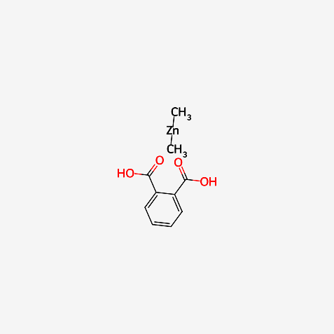 O=C(O)c1ccccc1C(=O)O.[CH3][Zn][CH3]